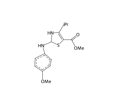 COC(=O)C1=C(C(C)C)NC(Nc2ccc(OC)cc2)S1